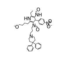 CCC1=C(NC=O)C(c2ccc([N+](=O)[O-])cc2)C(N(C=O)CCCN2CCC(c3ccccc3)(c3ccccc3)CC2)=C(CCCCOC)N1